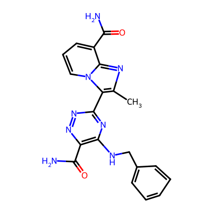 Cc1nc2c(C(N)=O)cccn2c1-c1nnc(C(N)=O)c(NCc2ccccc2)n1